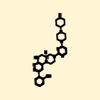 Oc1ccccc1-c1cc2c(nn1)NC[C@H]1CN(c3nccc(N4CCN(C5CCNCC5)CC4)n3)CCN21